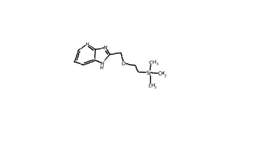 C[Si](C)(C)CCOCc1nc2ncccc2[nH]1